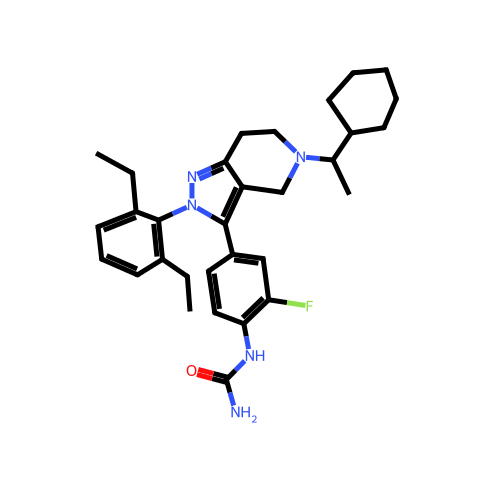 CCc1cccc(CC)c1-n1nc2c(c1-c1ccc(NC(N)=O)c(F)c1)CN(C(C)C1CCCCC1)CC2